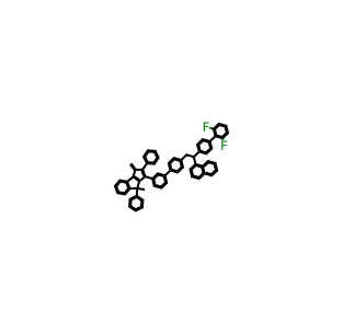 C=C1C(c2ccccc2)=C(c2cccc(-c3ccc(CC(c4ccc(-c5c(F)cccc5F)cc4)c4cccc5ccccc45)cc3)c2)C2=C1c1ccccc1C2(C)c1ccccc1